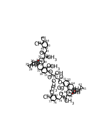 COc1c(OC(=O)C(O)C(O)C(=O)Oc2ccc3c(c2OC)[C@]24CCN(CC5CC5)[C@H](C3)[C@]2(O)CCC(N(C)C(=O)Cc2ccc(Cl)c(Cl)c2)C4)ccc2c1[C@]13CCN(CC4CC4)[C@H](C2)[C@]1(O)CCC(N(C)C(=O)Cc1ccc(Cl)c(Cl)c1)C3